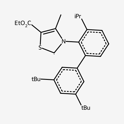 CCOC(=O)C1=C(C)N(c2c(-c3cc(C(C)(C)C)cc(C(C)(C)C)c3)cccc2C(C)C)[CH]S1